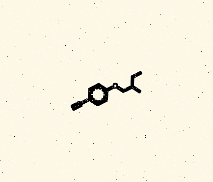 C#Cc1ccc(OCC(C)CC)cc1